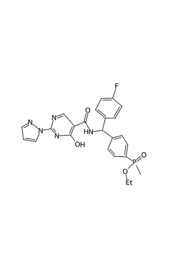 CCOP(C)(=O)c1ccc(C(NC(=O)c2cnc(-n3cccn3)nc2O)c2ccc(F)cc2)cc1